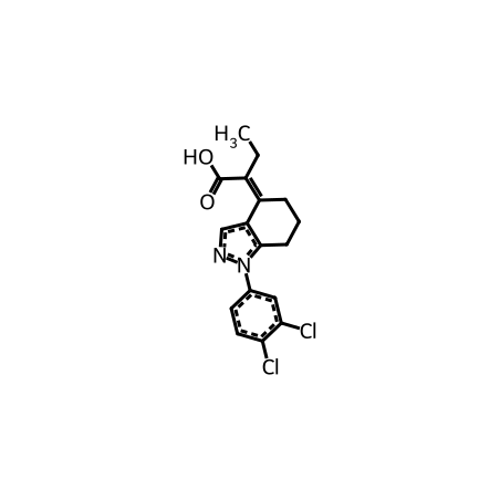 CCC(C(=O)O)=C1CCCc2c1cnn2-c1ccc(Cl)c(Cl)c1